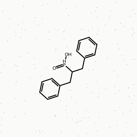 O=[PH](O)C(Cc1ccccc1)Cc1ccccc1